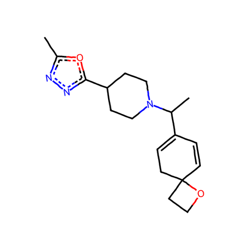 Cc1nnc(C2CCN(C(C)C3=CCC4(C=C3)CCO4)CC2)o1